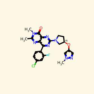 Cc1nc2c(-c3ccc(Cl)cc3F)nc(N3CC[C@@H](Oc4cnn(C)c4)C3)nc2c(=O)n1C